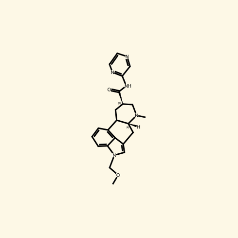 COCn1cc2c3c(cccc31)C1C[C@@H](C(=O)Nc3cnccn3)CN(C)[C@@H]1C2